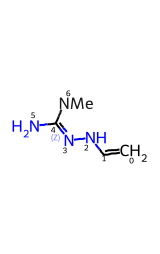 C=CN/N=C(/N)NC